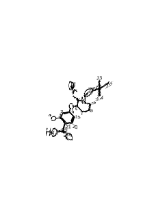 COc1cc(OC2CCCN(OC(C)(C)C)C2=C=O)ccc1C(=O)O